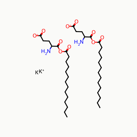 CCCCCCCCCCCCCC(=O)OC(=O)C(N)CCC(=O)[O-].CCCCCCCCCCCCCC(=O)OC(=O)C(N)CCC(=O)[O-].[K+].[K+]